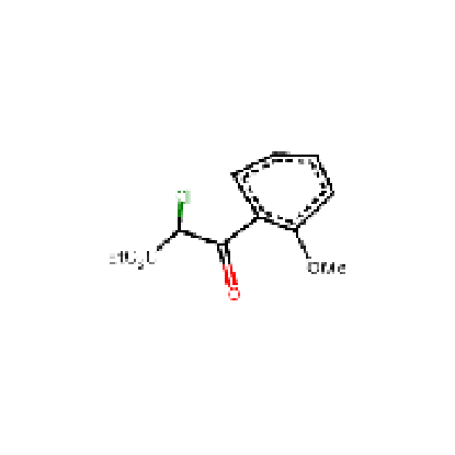 CCOC(=O)C(Cl)C(=O)c1ccccc1OC